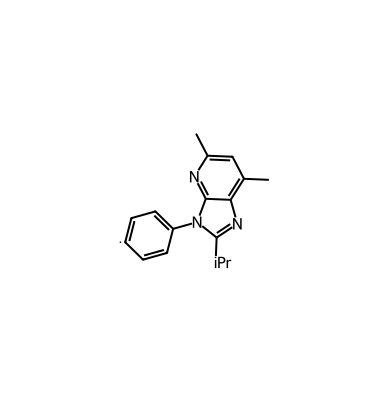 Cc1cc(C)c2nc(C(C)C)n(-c3cc[c]cc3)c2n1